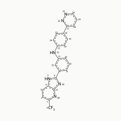 FC(F)(F)c1ccc2[nH]c(-c3cccc(Nc4ccc(-c5cccnn5)cc4)c3)nc2n1